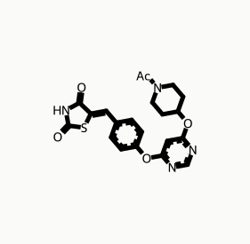 CC(=O)N1CCC(Oc2cc(Oc3ccc(/C=C4\SC(=O)NC4=O)cc3)ncn2)CC1